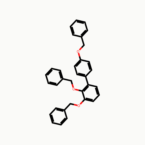 [c]1ccc(OCc2ccccc2)c(OCc2ccccc2)c1-c1ccc(OCc2ccccc2)cc1